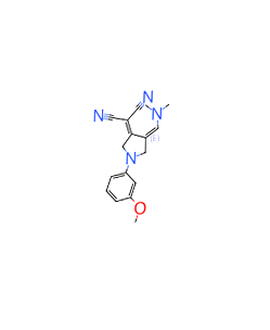 COc1cccc(N2CC(=C(C#N)C#N)/C(=C\N(C)C)C2)c1